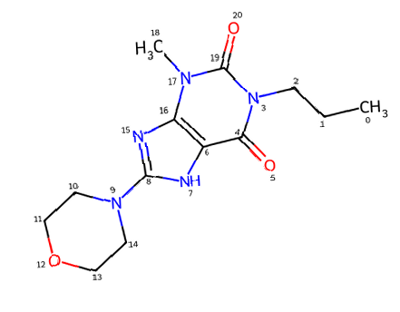 CCCn1c(=O)c2[nH]c(N3CCOCC3)nc2n(C)c1=O